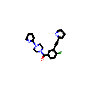 O=C(c1ccc(F)c(C#Cc2ccccn2)c1)N1CCN(c2ccccn2)CC1